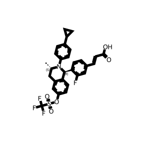 C[C@H]1Cc2cc(OS(=O)(=O)C(F)(F)F)ccc2[C@H](c2ccc(C=CC(=O)O)cc2F)N1c1ccc(C2CC2)cc1